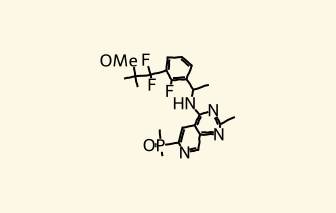 COC(C)(C)C(F)(F)c1cccc(C(C)Nc2nc(C)nc3cnc(P(C)(C)=O)cc23)c1F